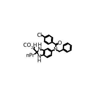 CCCC1(CC(=O)O)Nc2ccc(N(Cc3ccccc3)C(=O)c3ccc(Cl)cc3)cc2N1